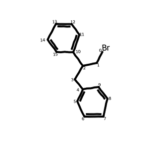 BrCC(Cc1ccccc1)c1ccccc1